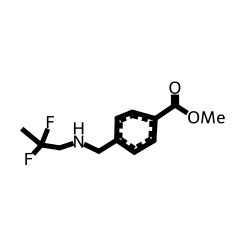 COC(=O)c1ccc(CNCC(C)(F)F)cc1